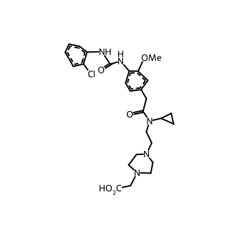 COc1cc(CC(=O)N(CCN2CCN(CC(=O)O)CC2)C2CC2)ccc1NC(=O)Nc1ccccc1Cl